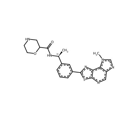 C[C@H](NC(=O)C1CNCCO1)c1cccc(-c2nc3c(ncc4ncn(C)c43)s2)c1